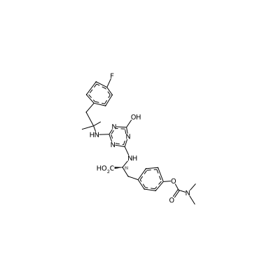 CN(C)C(=O)Oc1ccc(C[C@H](Nc2nc(O)nc(NC(C)(C)Cc3ccc(F)cc3)n2)C(=O)O)cc1